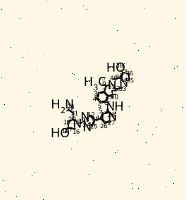 CC(c1cccc(Nc2cc(-c3cnc(N4CC(O)CC4CCN)nc3)ccn2)c1F)N1CCN2CCC(O)=C2C1